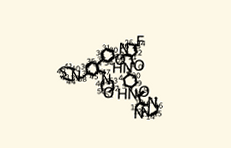 O=C(N[C@H]1CC[C@H](NC(=O)c2cnn3cccnc23)CC1)c1cc(F)cnc1Oc1cccc(-c2ccc(CN3CCSCC3)cc2CN2CCOCC2)c1